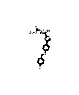 CC(C)(C)OC(=O)NNC(=N)c1nc(-c2ccc(OCc3ccc(Cl)cc3)cc2)cs1